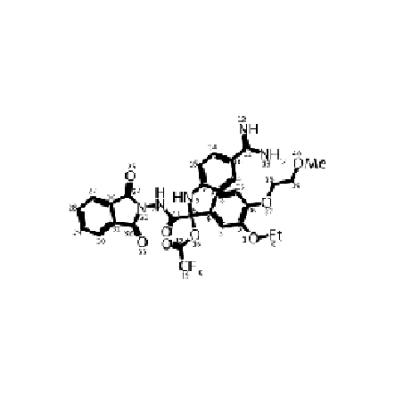 CCOc1cc(C(Nc2ccc(C(=N)N)cc2)(OC(=O)C(F)(F)F)C(=O)NN2C(=O)c3ccccc3C2=O)ccc1OCCOC